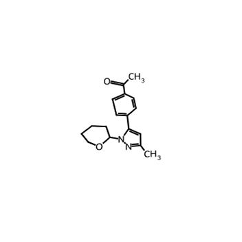 CC(=O)c1ccc(-c2cc(C)nn2C2CCCCO2)cc1